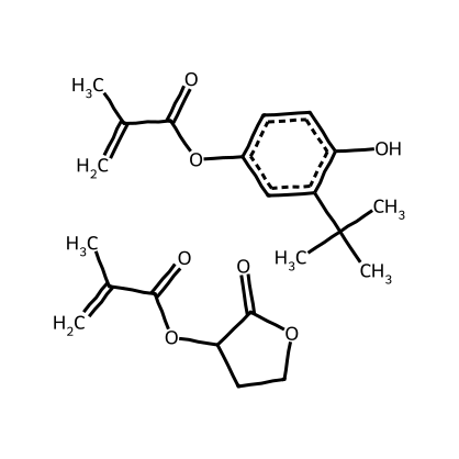 C=C(C)C(=O)OC1CCOC1=O.C=C(C)C(=O)Oc1ccc(O)c(C(C)(C)C)c1